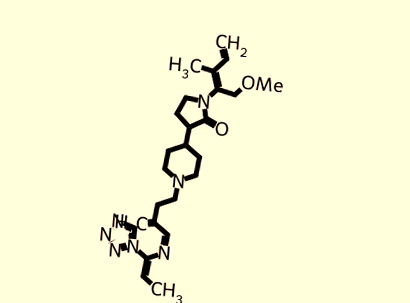 C=C/C(C)=C(\COC)N1CCC(C2CCN(CCC(=C)/C=N\C(=C/C)n3cnnn3)CC2)C1=O